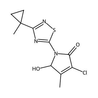 CC1=C(Cl)C(=O)N(c2nc(C3(C)CC3)ns2)C1O